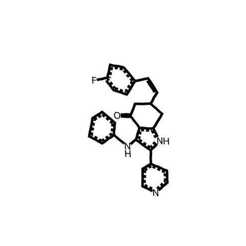 O=C1CC(/C=C\c2ccc(F)cc2)Cc2[nH]c(-c3ccncc3)c(Nc3ccccc3)c21